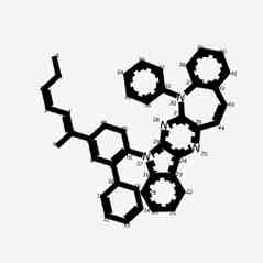 CC/C=C\C=C(/C)C1=CC(C2C=CC=CC2)=C(n2c3ccccc3c3nc4c(nc32)N(c2ccccc2)c2ccccc2C=C4)CC1